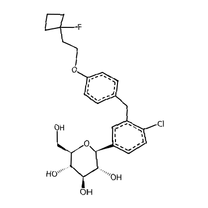 OC[C@H]1O[C@@H](c2ccc(Cl)c(Cc3ccc(OCCC4(F)CCC4)cc3)c2)[C@H](O)[C@@H](O)[C@@H]1O